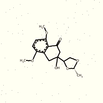 COc1ccc(OC)c2c1CC(O)(C1CO[C@H](C)O1)CC2=O